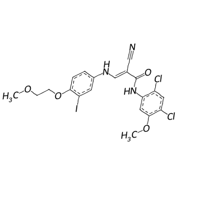 COCCOc1ccc(N/C=C(\C#N)C(=O)Nc2cc(OC)c(Cl)cc2Cl)cc1I